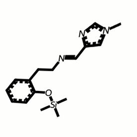 Cn1cnc(C=NCCc2ccccc2O[Si](C)(C)C)c1